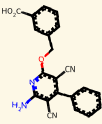 N#Cc1c(N)nc(OCc2cccc(C(=O)O)c2)c(C#N)c1-c1ccccc1